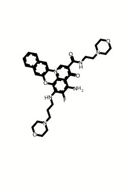 Nc1c(F)c(NCCCN2CCOCC2)c2c3c1c(=O)c(C(=O)NCCN1CCOCC1)cn3-c1cc3ccccc3cc1O2